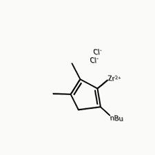 CCCCC1=[C]([Zr+2])C(C)=C(C)C1.[Cl-].[Cl-]